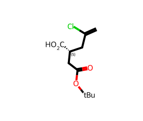 C=C(Cl)C[C@H](CC(=O)OC(C)(C)C)C(=O)O